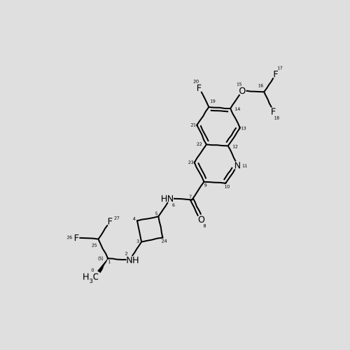 C[C@H](NC1CC(NC(=O)c2cnc3cc(OC(F)F)c(F)cc3c2)C1)C(F)F